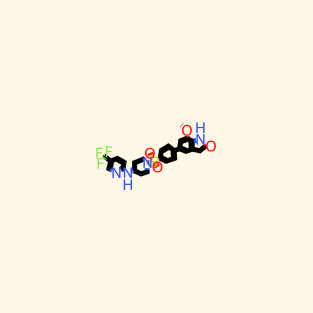 COc1cc(-c2ccc(S(=O)(=O)N3CCC(Nc4ccc(C(F)(F)F)cn4)CC3)cc2)cc2c1NC(=O)C2